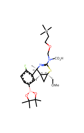 COC[C@]12C[C@H]1[C@@](C)(c1cc(B3OC(C)(C)C(C)(C)O3)ccc1F)N=C(N(COCC[Si](C)(C)C)C(=O)O)S2